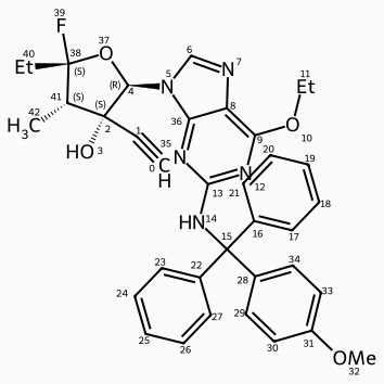 C#C[C@]1(O)[C@H](n2cnc3c(OCC)nc(NC(c4ccccc4)(c4ccccc4)c4ccc(OC)cc4)nc32)O[C@](F)(CC)[C@H]1C